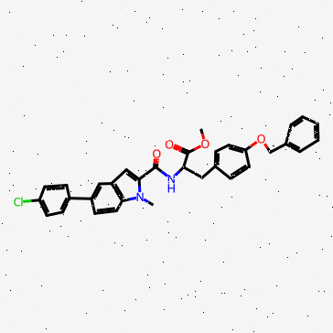 COC(=O)C(Cc1ccc(OCc2ccccc2)cc1)NC(=O)c1cc2cc(-c3ccc(Cl)cc3)ccc2n1C